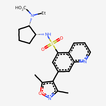 CCN(C(=O)O)[C@H]1CCC[C@H]1NS(=O)(=O)c1cc(-c2c(C)noc2C)cc2ncccc12